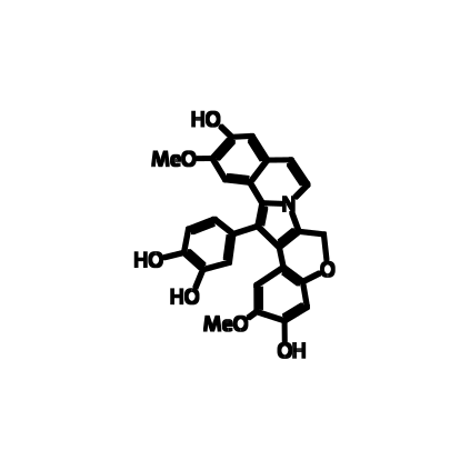 COc1cc2c(cc1O)OCc1c-2c(-c2ccc(O)c(O)c2)c2c3cc(OC)c(O)cc3ccn12